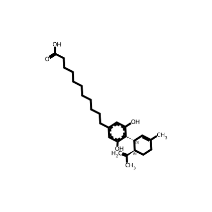 C=C(C)[C@@H]1CCC(C)=C[C@H]1c1c(O)cc(CCCCCCCCCCC(=O)O)cc1O